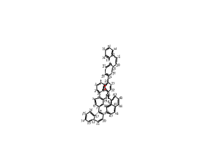 c1ccc(-c2ccc(-c3cccc4ccccc34)cc2N(c2ccc(-c3ccc4c(ccc5ccccc54)c3)cc2)c2cccc3ccccc23)cc1